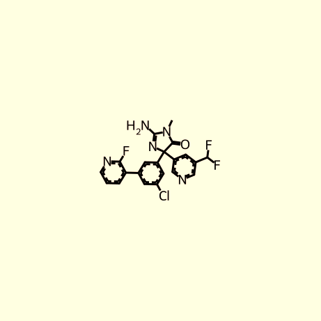 CN1C(=O)C(c2cc(Cl)cc(-c3cccnc3F)c2)(c2cncc(C(F)F)c2)N=C1N